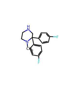 CN1CCNCC1(c1ccc(F)cc1)c1ccc(F)cc1